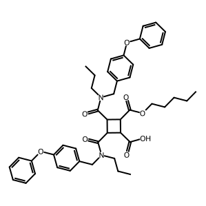 CCCCCOC(=O)C1C(C(=O)O)C(C(=O)N(CCC)Cc2ccc(Oc3ccccc3)cc2)C1C(=O)N(CCC)Cc1ccc(Oc2ccccc2)cc1